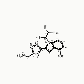 NCc1nc(-c2cc3c(Br)cccc3n2C(F)C(F)F)no1